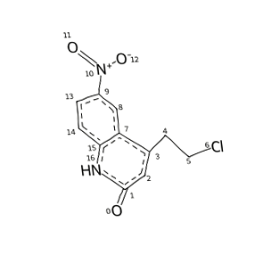 O=c1cc(CCCl)c2cc([N+](=O)[O-])ccc2[nH]1